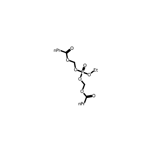 CCCC(=O)OCOP(=O)(OCC)OCOC(=O)CCC